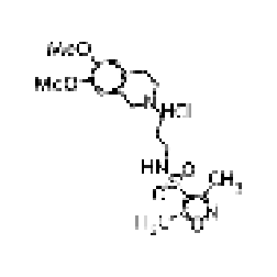 COc1cc2c(cc1OC)CN(CCCNS(=O)(=O)c1c(C)noc1C)CC2.Cl